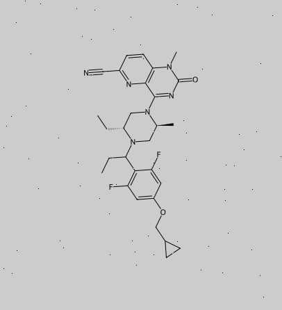 CCC(c1c(F)cc(OCC2CC2)cc1F)N1C[C@H](C)N(c2nc(=O)n(C)c3ccc(C#N)nc23)C[C@H]1CC